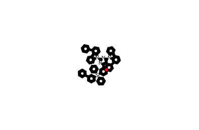 c1ccc(-c2cccc([Si](c3ccccc3)(c3ccccc3)c3cccc(-c4cc(-n5c6ccccc6c6cccc(-c7ccccc7)c65)nc(-n5c6ccccc6c6c(-c7ccccc7)cccc65)n4)c3)c2)cc1